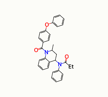 CCC(=O)N(c1ccccc1)C1CC(C)N(C(=O)c2ccc(Oc3ccccc3)cc2)c2ccccc21